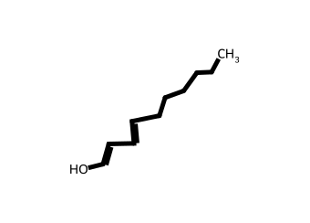 CCCCCCC=CC=CO